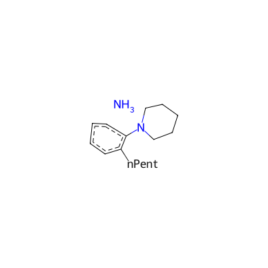 CCCCCc1ccccc1N1CCCCC1.N